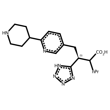 CCCC(C(=O)O)[C@H](Cc1ccc(C2CCNCC2)nc1)c1nnn[nH]1